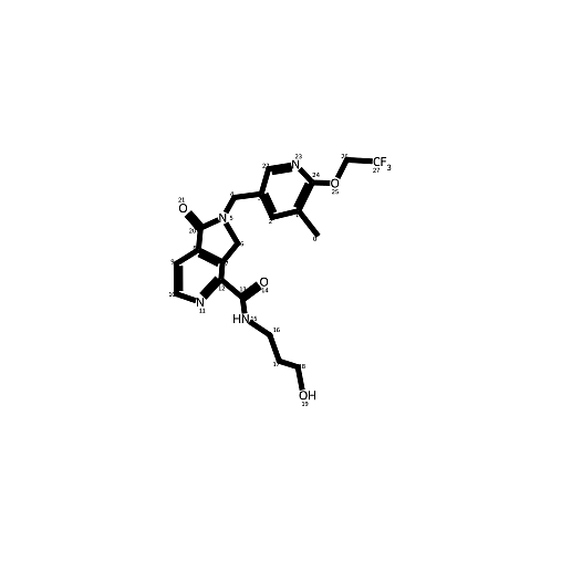 Cc1cc(CN2Cc3c(ccnc3C(=O)NCCCO)C2=O)cnc1OCC(F)(F)F